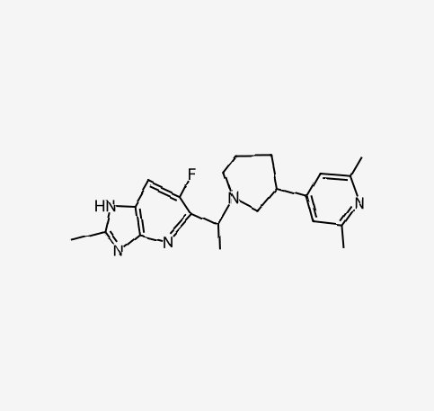 Cc1cc(C2CCCN(C(C)c3nc4nc(C)[nH]c4cc3F)C2)cc(C)n1